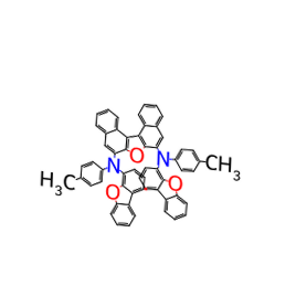 Cc1ccc(N(c2cccc3c2oc2ccccc23)c2cc3ccccc3c3c2oc2c(N(c4ccc(C)cc4)c4cccc5c4oc4ccccc45)cc4ccccc4c23)cc1